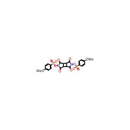 COc1ccc(S(=O)(=O)ON2C(=O)C3C(C2=O)C2C(=O)N(OS(=O)(=O)c4ccc(OC)cc4)C(=O)C32)cc1